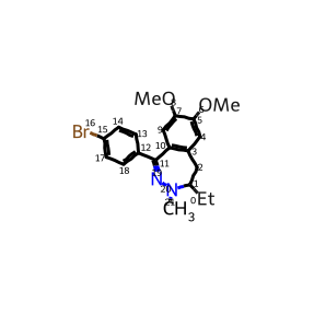 CCC1Cc2cc(OC)c(OC)cc2C(c2ccc(Br)cc2)=NN1C